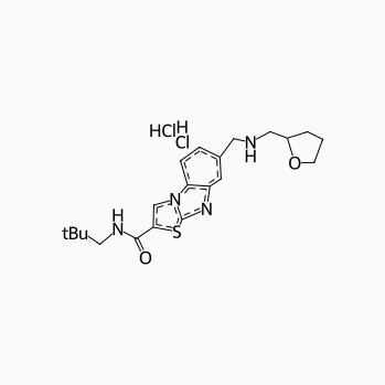 CC(C)(C)CNC(=O)c1cn2c(nc3cc(CNCC4CCCO4)ccc32)s1.Cl.Cl